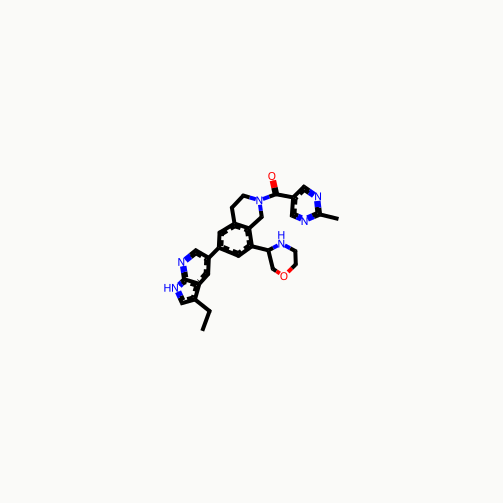 CCc1c[nH]c2ncc(-c3cc4c(c(C5COCCN5)c3)CN(C(=O)c3cnc(C)nc3)CC4)cc12